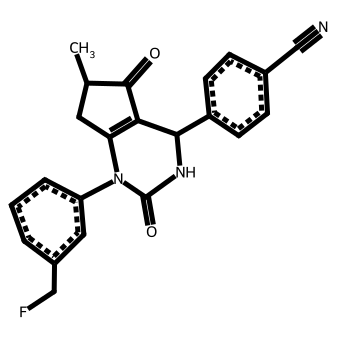 CC1CC2=C(C1=O)C(c1ccc(C#N)cc1)NC(=O)N2c1cccc(CF)c1